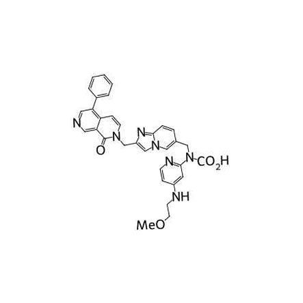 COCCNc1ccnc(N(Cc2ccc3nc(Cn4ccc5c(-c6ccccc6)cncc5c4=O)cn3c2)C(=O)O)c1